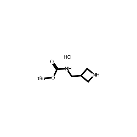 CC(C)(C)OC(=O)NCC1CNC1.Cl